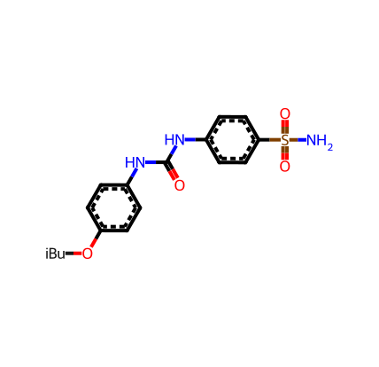 CCC(C)Oc1ccc(NC(=O)Nc2ccc(S(N)(=O)=O)cc2)cc1